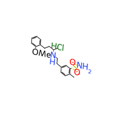 COc1ccccc1CCC(C)NCCc1ccc(C)c(S(N)(=O)=O)c1.Cl